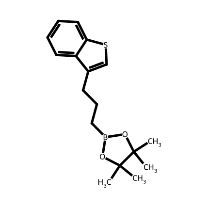 CC1(C)OB(CCCc2csc3ccccc23)OC1(C)C